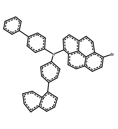 Brc1ccc2ccc3c(N(c4ccc(-c5ccccc5)cc4)c4ccc(-c5cccc6ccccc56)cc4)ccc4ccc1c2c43